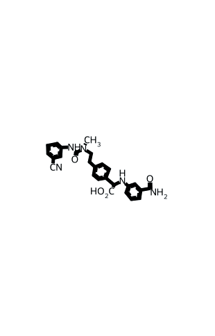 CN(CCc1ccc(C(Nc2cccc(C(N)=O)c2)C(=O)O)cc1)C(=O)Nc1cccc(C#N)c1